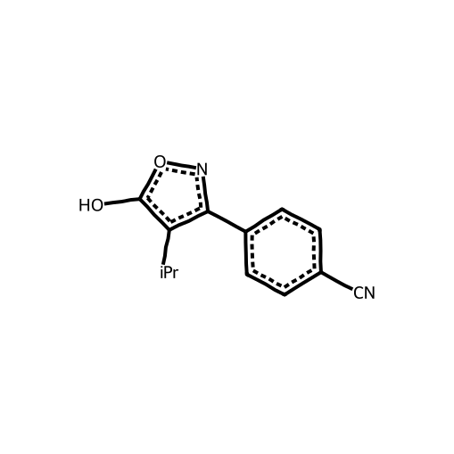 CC(C)c1c(-c2ccc(C#N)cc2)noc1O